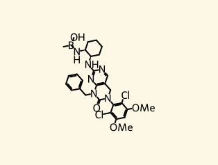 COc1cc(OC)c(Cl)c(N2Cc3cnc(N[C@@H]4CCCC[C@@H]4NB(C)O)nc3N(Cc3ccccc3)C2=O)c1Cl